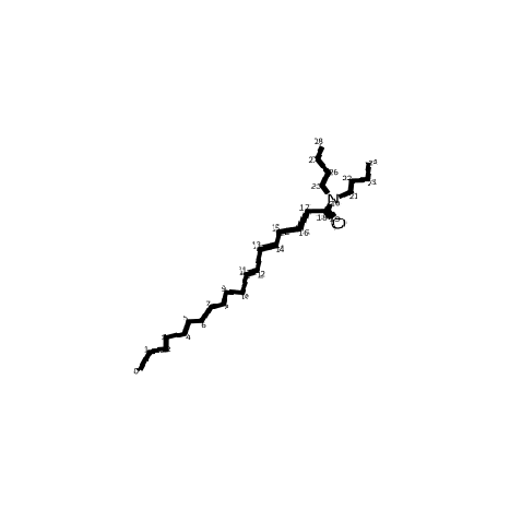 CCCCCCCCCCCCCCCCCCC(=O)N(CCCC)CCCC